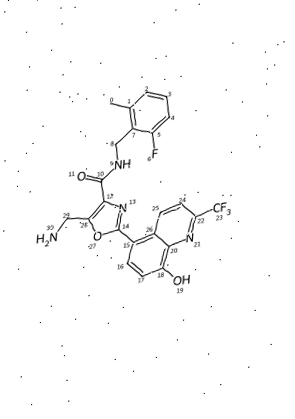 Cc1cccc(F)c1CNC(=O)c1nc(-c2ccc(O)c3nc(C(F)(F)F)ccc23)oc1CN